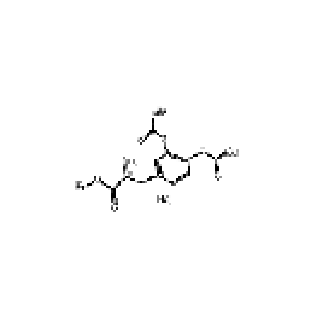 CCCCC(=O)Oc1ccc(C[C@H](N)C(=O)OC(C)C)cc1OC(=O)CCCC.Cl